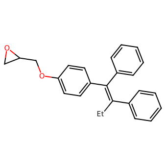 CC/C(=C(/c1ccccc1)c1ccc(OCC2CO2)cc1)c1ccccc1